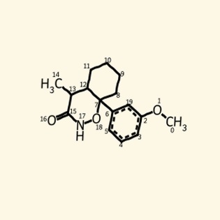 COc1cccc(C23CCCCC2C(C)C(=O)NO3)c1